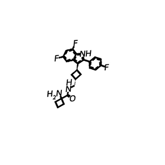 NC1(C(=O)NC[C@H]2C[C@H](c3c(-c4ccc(F)cc4)[nH]c4c(F)cc(F)cc43)C2)CCC1